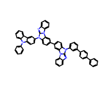 c1ccc(-c2ccc(-c3cccc(-n4c5ccc(-c6ccc7c(c6)n6c8ccccc8nc6n7-c6ccc7c(c6)c6ccccc6n7-c6ccccc6)cc5n5c6ccccc6nc45)c3)cc2)cc1